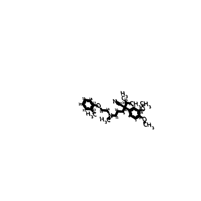 COc1ccc(C(C#N)(CCCN(C)CCOc2ccccc2C)C(C)C)cc1OC